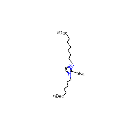 CCCCCCCCCCCCCCCCC[n+]1ccn(CCCCCCCCCCCCCCC)c1CCCC